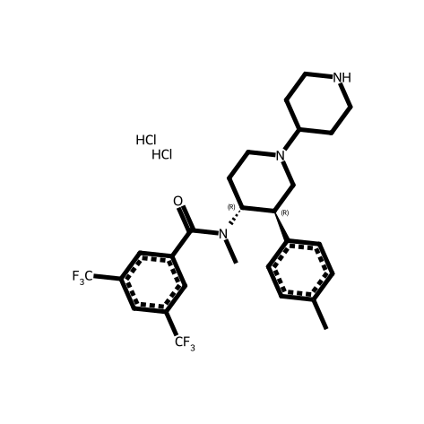 Cc1ccc([C@@H]2CN(C3CCNCC3)CC[C@H]2N(C)C(=O)c2cc(C(F)(F)F)cc(C(F)(F)F)c2)cc1.Cl.Cl